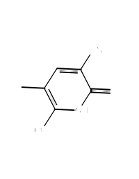 Cc1cc(C#N)c(=O)[nH]c1C(C)C